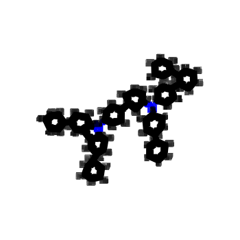 c1ccc(-c2ccc(N(c3ccc(-c4ccccc4-c4ccccc4)cc3)c3cccc(-c4ccc(-n5c6ccc(-c7ccccc7)cc6c6cc(-c7ccccc7)ccc65)cc4)c3)cc2)cc1